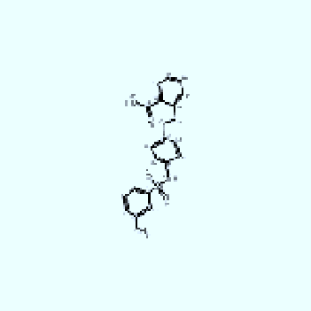 Cc1cccc(S(=O)(=O)Nc2ccc(CCc3ccccc3C(=O)O)cc2)c1